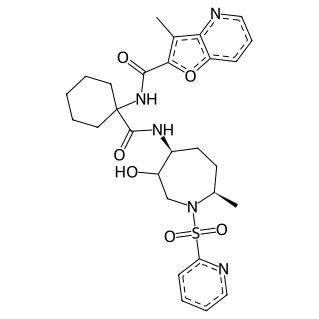 Cc1c(C(=O)NC2(C(=O)N[C@H]3CC[C@@H](C)N(S(=O)(=O)c4ccccn4)CC3O)CCCCC2)oc2cccnc12